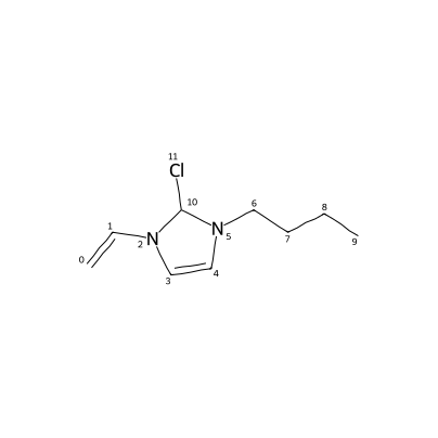 C=CN1C=CN(CCCC)C1Cl